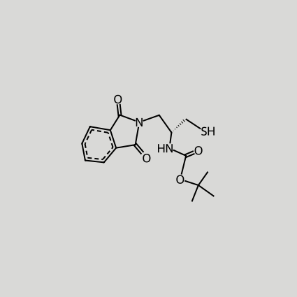 CC(C)(C)OC(=O)N[C@@H](CS)CN1C(=O)c2ccccc2C1=O